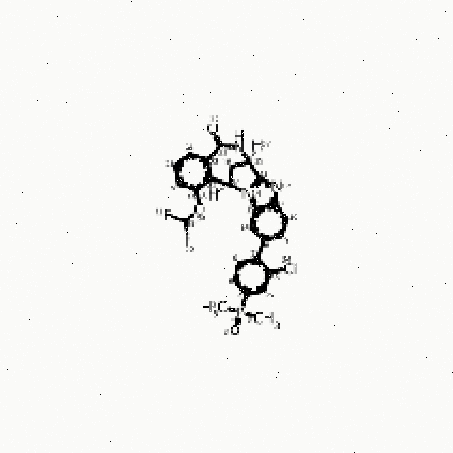 CP(C)(=O)c1ccc(-c2ccc3nc4n(c3c2)[C@@H]2C[C@H]4NC(=O)c3cccc(OC(F)F)c32)c(Cl)c1